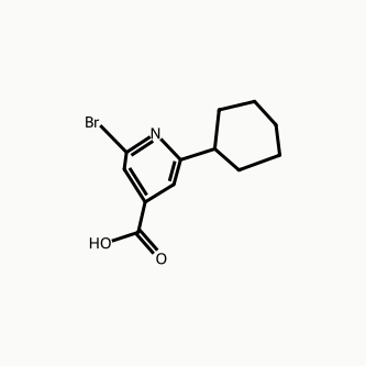 O=C(O)c1cc(Br)nc(C2CCCCC2)c1